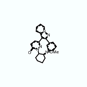 CON=C1CCCCC1n1nc(-c2c(-c3ccccc3)nn3ccccc23)ccc1=O